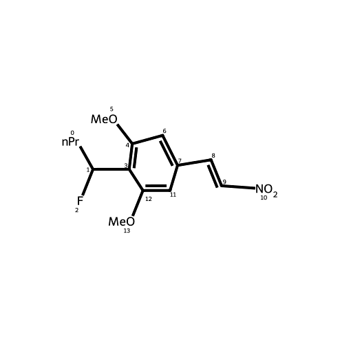 [CH2]CCC(F)c1c(OC)cc(/C=C/[N+](=O)[O-])cc1OC